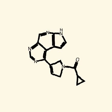 O=C(C1CC1)N1CC=C(c2ncnc3cnc4[nH]ccc4c23)C1